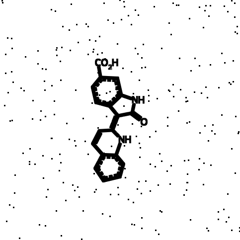 O=C1Nc2cc(C(=O)O)ccc2C1=C1C=Cc2ccccc2N1